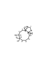 C[C@H]1CC[C@]2(C)OCC[C@H]2CCCCC1(C)C